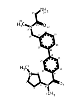 CN1CCC(N(C)C(=O)c2ccc(-c3cccc(CN(C)C(=O)CN)c3)cc2)C1